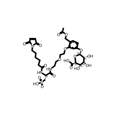 CC(=O)OCc1ccc(O[C@@H]2O[C@H](C(=O)O)[C@@H](O)[C@H](O)[C@H]2O)cc1OCCOCCNC(=O)[C@H](CS(=O)(=O)O)NC(=O)CCCCCN1C(=O)C=CC1=O